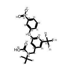 CC(C)(C)N(Cc1cc(Oc2cccc([N+](=O)[O-])c2)nc(C(F)(F)F)c1)C(=O)O